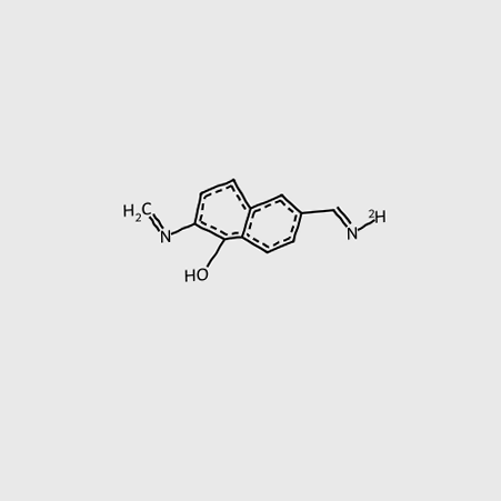 [2H]/N=C/c1ccc2c(O)c(N=C)ccc2c1